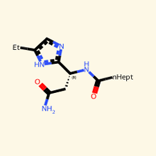 CCCCCCCC(=O)N[C@H](CC(N)=O)c1ncc(CC)[nH]1